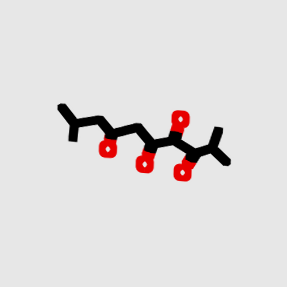 CC(C)CC(=O)CC(=O)C(=O)C(=O)C(C)C